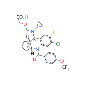 O=C(O)COCN(C1CC1)[C@H]1c2cc(F)c(Cl)cc2N(C(=O)c2ccc(OC(F)(F)F)cc2)[C@@H]2CCC[C@@H]21